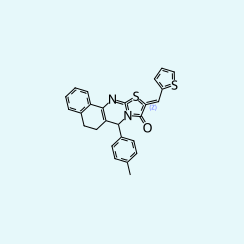 Cc1ccc(C2C3=C(N=c4s/c(=C\c5cccs5)c(=O)n42)c2ccccc2CC3)cc1